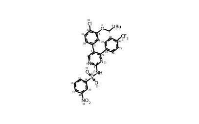 CC(C)(C)COc1cc(-c2cnc(NS(=O)(=O)c3cccc([N+](=O)[O-])c3)nc2-c2ccc(C(F)(F)F)cc2)ccc1Cl